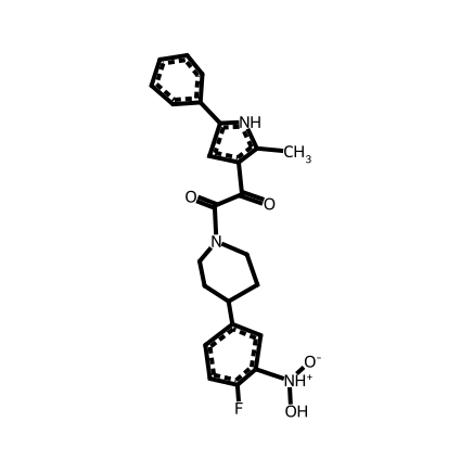 Cc1[nH]c(-c2ccccc2)cc1C(=O)C(=O)N1CCC(c2ccc(F)c([NH+]([O-])O)c2)CC1